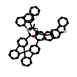 C/C(=N\c1ccccc1Cc1ccccc1)c1cc(-c2ccc3c(c2)C2(c4ccccc4-3)c3ccccc3-c3ccc(-c4nc(-c5ccccc5)nc(-c5ccccc5)n4)cc32)cc(-c2ccc3oc4ccccc4c3c2)c1